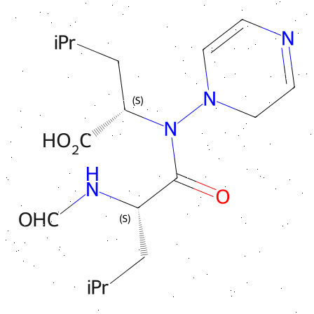 CC(C)C[C@H](NC=O)C(=O)N([C@@H](CC(C)C)C(=O)O)N1C=CN=CC1